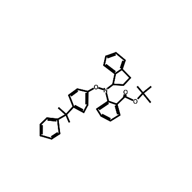 CC(C)(C)OC(=O)c1ccccc1N(Oc1ccc(C(C)(C)c2ccccc2)cc1)C1CCc2ccccc21